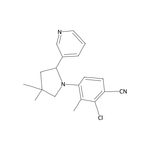 Cc1c(N2CC(C)(C)CC2c2cccnc2)ccc(C#N)c1Cl